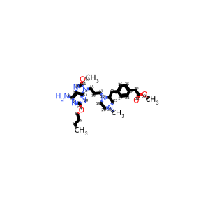 CCCCOc1nc(N)c2nc(OC)n(CCCN3CCN(C)CC3Cc3ccc(CC(=O)OC)cc3)c2n1